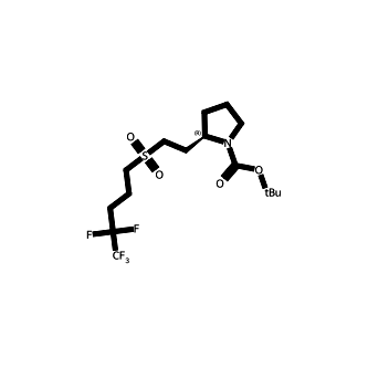 CC(C)(C)OC(=O)N1CCC[C@@H]1CCS(=O)(=O)CCCC(F)(F)C(F)(F)F